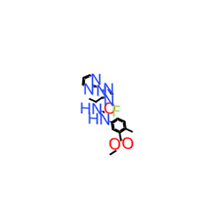 CCOC(=O)c1cc(NC(=O)NC(C)c2ncnn2-c2ncccn2)c(F)cc1C